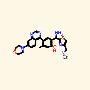 CCNCc1csc(C(N)c2cc(-c3ncnc4cc(N5CCOCC5)ccc34)c(C)cc2O)n1